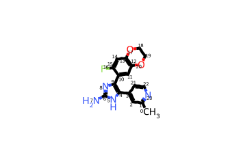 Cc1cc(-c2[nH]c(N)nc2-c2cc3c(cc2F)OCCO3)ccn1